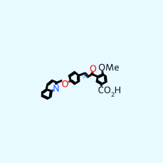 COc1ccc(C(=O)O)cc1C(=O)/C=C/c1ccc(OCc2ccc3ccccc3n2)cc1